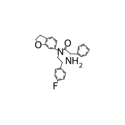 N[C@H](C(=O)N(CCc1ccc(F)cc1)c1ccc2c(c1)OCC2)c1ccccc1